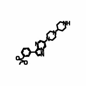 CS(=O)(=O)c1cccc(-c2cnn3cc(N4CCN(C5CCNCC5)CC4)cnc23)c1